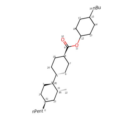 CCCCC[C@H]1CC[C@@H]([C@H]2CC[C@H](C(=O)OC3CCC(CCCC)CC3)CC2)[C@H](C)C1